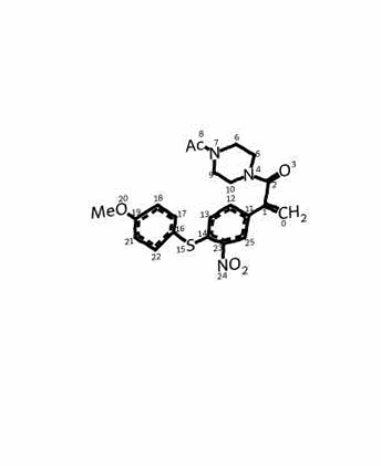 C=C(C(=O)N1CCN(C(C)=O)CC1)c1ccc(Sc2ccc(OC)cc2)c([N+](=O)[O-])c1